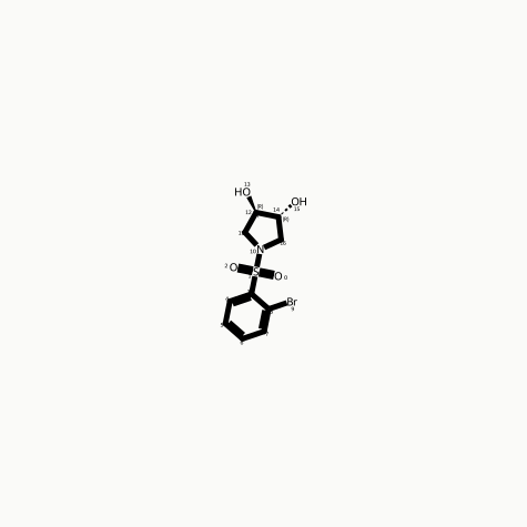 O=S(=O)(c1ccccc1Br)N1C[C@@H](O)[C@H](O)C1